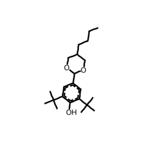 CCCCC1COC(c2cc(C(C)(C)C)c(O)c(C(C)(C)C)c2)OC1